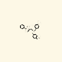 CCCCn1c(CN(Cc2ccc(CC)cc2)Cc2ccc3c(c2)OCO3)cnc1-c1ccccc1